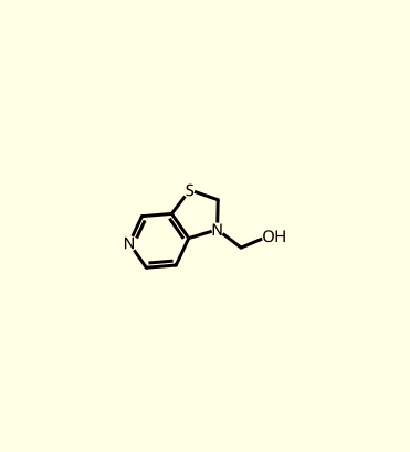 OCN1CSc2cnccc21